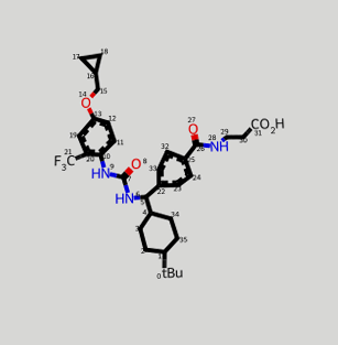 CC(C)(C)C1CCC(C(NC(=O)Nc2ccc(OCC3CC3)cc2C(F)(F)F)c2ccc(C(=O)NCCC(=O)O)cc2)CC1